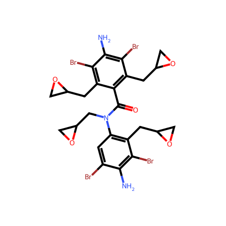 Nc1c(Br)cc(N(CC2CO2)C(=O)c2c(CC3CO3)c(Br)c(N)c(Br)c2CC2CO2)c(CC2CO2)c1Br